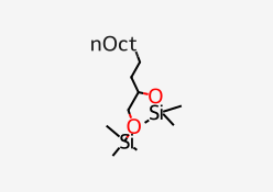 CCCCCCCCCCC(CO[Si](C)(C)C)O[Si](C)(C)C